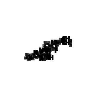 CN(C)CCNc1cc(F)cc(-c2cccc3[nH]c(-c4n[nH]c5cnc(-c6cncc(CN7CCCC7)c6)c(F)c45)nc23)c1